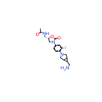 CC(=O)NC[C@H]1CN(c2ccc(N3CC4C(CN)C4C3)c(F)c2)C(=O)O1